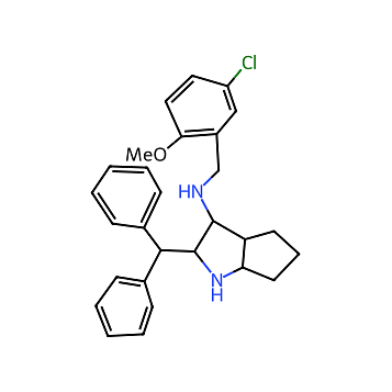 COc1ccc(Cl)cc1CNC1C2CCCC2NC1C(c1ccccc1)c1ccccc1